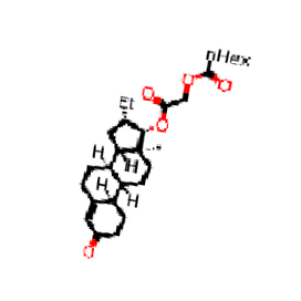 CCCCCCC(=O)OCC(=O)O[C@H]1[C@@H](CC)C[C@H]2[C@@H]3CCC4=CC(=O)CC[C@@H]4[C@H]3CC[C@@]21C